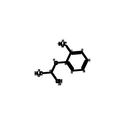 [CH2]c1ccccc1OC(C)O